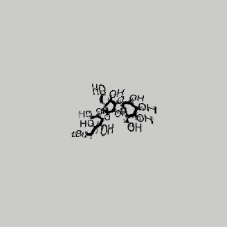 CC(C)(C)C[C@H](O)[C@@H](O)[C@@H](O[C@@H]1O[C@H](CO)[C@H](O)[C@H](O[C@H]2O[C@H](CO)[C@H](O)[C@H](O)[C@H]2O)[C@H]1O)[C@H](O)CO